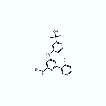 CC(C)Nc1cc(Nc2ccnc(C(C)(C)O)c2)nc(-c2ccccc2F)n1